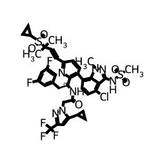 Cn1nc(NS(C)(=O)=O)c2c(Cl)ccc(-c3ccc(C#CC(C)(C)S(=O)(=O)C4CC4)nc3[C@H](Cc3cc(F)cc(F)c3)NC(=O)Cn3nc(C(F)(F)F)cc3C3CC3)c21